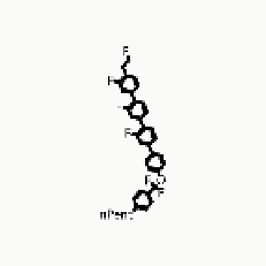 CCCCCc1ccc(C(F)(F)Oc2ccc(-c3ccc(-c4ccc(-c5ccc(CCF)c(F)c5)c(F)c4)c(F)c3)cc2)cc1